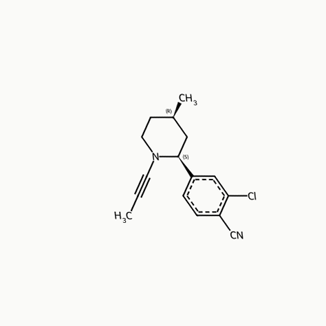 CC#CN1CC[C@@H](C)C[C@H]1c1ccc(C#N)c(Cl)c1